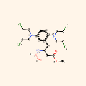 CB(O)N[C@H](CC(=O)OC(C)(C)C)Cc1cc(N(CCCl)CCCl)ccc1N(CCCl)CCCl